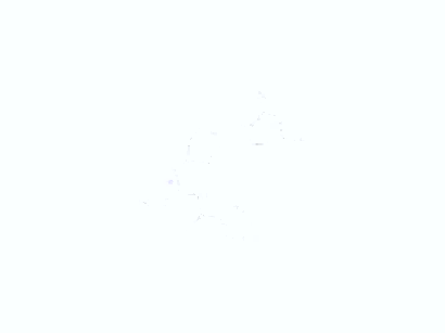 O=C(O)/C(=C/c1ccc(Oc2ccc(F)cc2Br)cc1)NC(=O)c1ccccc1